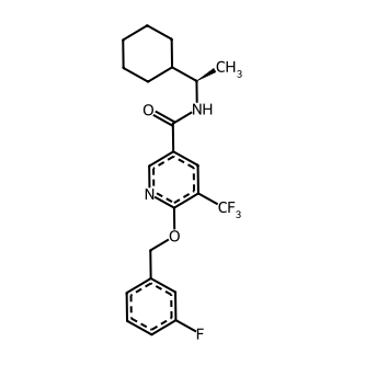 C[C@@H](NC(=O)c1cnc(OCc2cccc(F)c2)c(C(F)(F)F)c1)C1CCCCC1